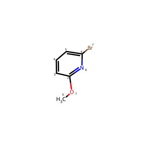 COc1[c]ccc(Br)n1